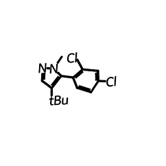 Cn1ncc(C(C)(C)C)c1-c1ccc(Cl)cc1Cl